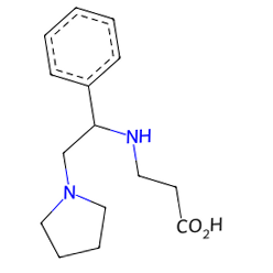 O=C(O)CCNC(CN1CCCC1)c1ccccc1